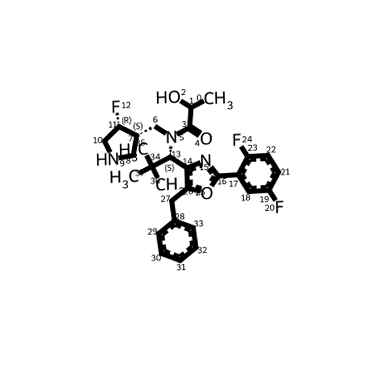 CC(O)C(=O)N(C[C@@H]1CNC[C@@H]1F)[C@H](c1nc(-c2cc(F)ccc2F)oc1Cc1ccccc1)C(C)(C)C